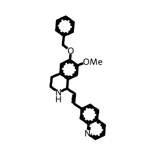 COc1cc2c(cc1OCc1ccccc1)CCNC2C=Cc1ccc2cccnc2c1